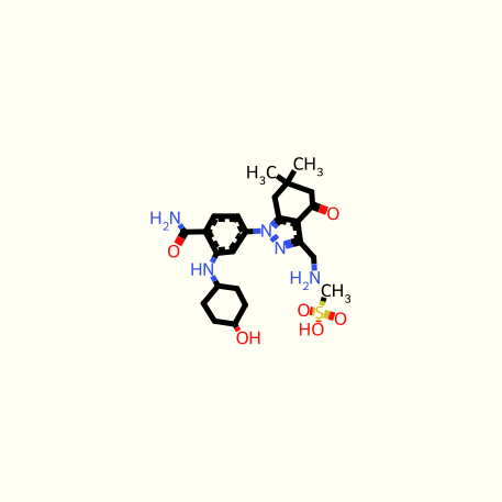 CC1(C)CC(=O)c2c(CN)nn(-c3ccc(C(N)=O)c(NC4CCC(O)CC4)c3)c2C1.CS(=O)(=O)O